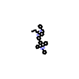 C=C/C=C\C=C(/C)c1nc2ccc(-c3ccc(-c4c(-c5ccccc5)nc(-c5ccccc5)nc4-c4ccccc4)cc3)cc2c2ccc3ccc(-c4ccccc4)nc3c12